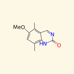 COc1cc(C)c2[nH]c(=O)ncc2c1C